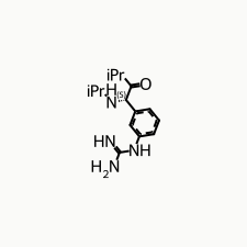 CC(C)N[C@H](C(=O)C(C)C)c1cccc(NC(=N)N)c1